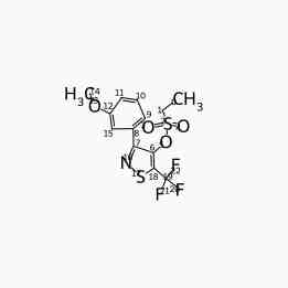 CCS(=O)(=O)Oc1c(-c2cccc(OC)c2)nsc1C(F)(F)F